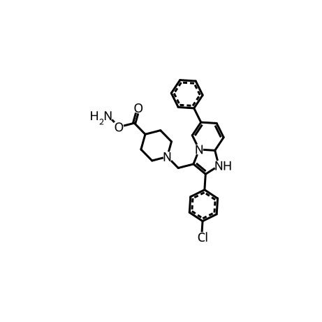 NOC(=O)C1CCN(CC2=C(c3ccc(Cl)cc3)NC3C=CC(c4ccccc4)=CN23)CC1